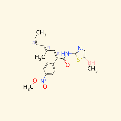 CBc1cnc(NC(=O)/C(=C/C(C)=C/C=C\C)c2ccc([N+](=O)OC)cc2)s1